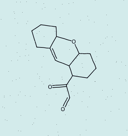 O=CC(=O)C1CCCC2OC3CCCCC3=CC21